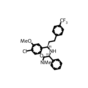 CNC(=O)[C@@H](N[C@H](CCc1ccc(C(F)(F)F)cc1)c1ccc(Cl)c(OC)c1)c1ccccc1